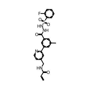 C=CC(=O)NCc1ccnc(-c2cc(C)cc(C(=O)NNS(=O)(=O)c3ccccc3F)c2)c1